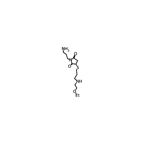 CCOCCNCCCSC1CC(=O)N(CCCN)C1=O